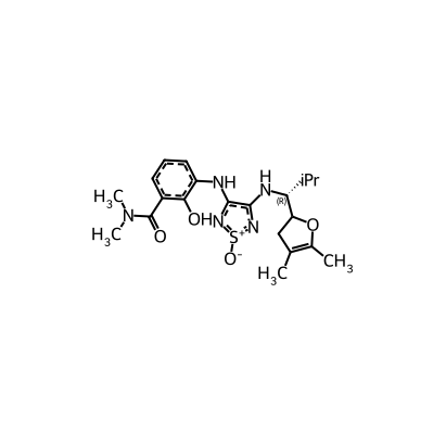 CC1=C(C)OC([C@H](Nc2n[s+]([O-])nc2Nc2cccc(C(=O)N(C)C)c2O)C(C)C)C1